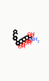 CC1CCCC1=Cc1ccc(-c2ccc(O)c3c2C[C@]2(C)C[C@]4(C)CC(O)=C(C(N)=O)C(=O)[C@]4(O)C(O)=C2C3=O)cc1